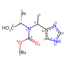 CC(C)[C@@H](C(=O)O)N(C(=O)OC(C)(C)C)C(C)c1c[nH]cn1